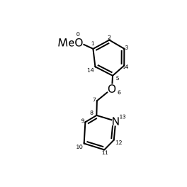 COc1cc[c]c(OCc2ccccn2)c1